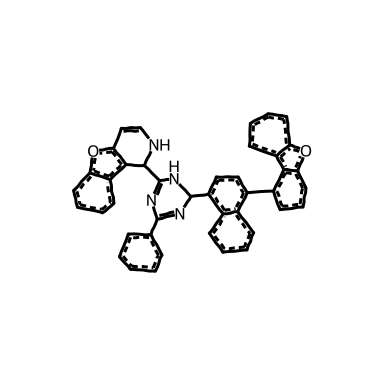 C1=Cc2oc3ccccc3c2C(C2=NC(c3ccccc3)=NC(c3ccc(-c4cccc5oc6ccccc6c45)c4ccccc34)N2)N1